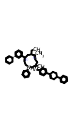 CCC1C/C(c2cccc([C@H]3C=CC=CC3)c2)=C\CN(c2ccccc2)CC(C)(Nc2ccc(C3=CCC(c4ccccc4)CC3)cc2)C/C=C/1C